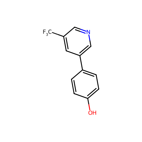 Oc1ccc(-c2cncc(C(F)(F)F)c2)cc1